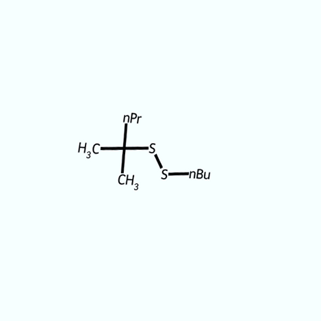 CCCCSSC(C)(C)CCC